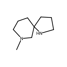 CN1CCCC2(CCCN2)C1